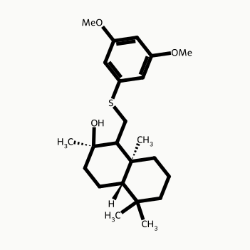 COc1cc(OC)cc(SCC2[C@](C)(O)CC[C@H]3C(C)(C)CCC[C@]23C)c1